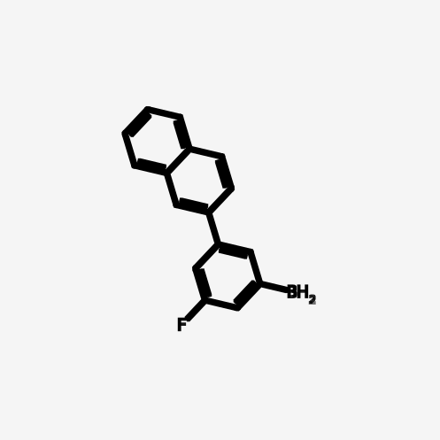 Bc1cc(F)cc(-c2ccc3ccccc3c2)c1